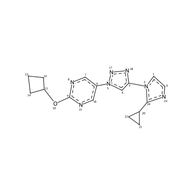 c1cn(-c2cn(-c3cnc(OC4CCC4)nc3)nn2)c(C2CC2)n1